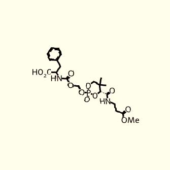 COC(=O)CCNC(=O)[C@@H]1OP(=O)(OCOC(=O)NC(Cc2ccccc2)C(=O)O)OCC1(C)C